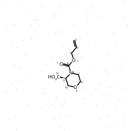 C=CCOC(=O)N1CCOC[C@H]1C(=O)O